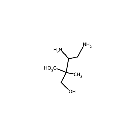 CC(CO)(C(=O)O)C(N)CN